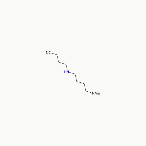 CNCCCCNCCCC#N